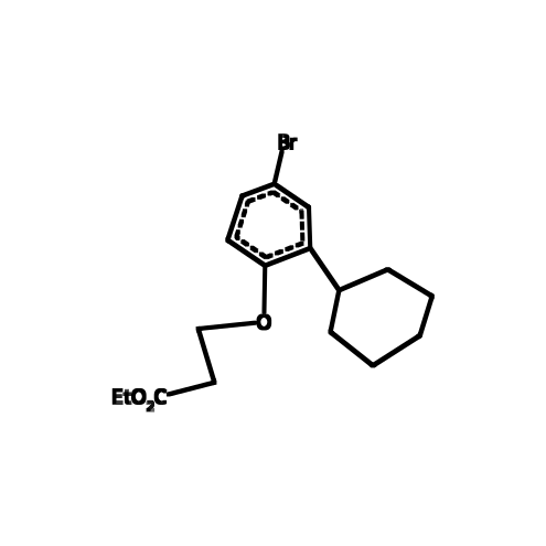 CCOC(=O)CCOc1ccc(Br)cc1C1CCCCC1